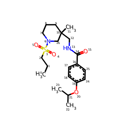 CCCS(=O)(=O)N1CCCC(C)(CNC(=O)c2ccc(OC(C)C)cc2)C1